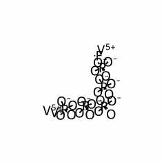 O=P([O-])([O-])[O-].O=P([O-])([O-])[O-].O=P([O-])([O-])[O-].O=P([O-])([O-])[O-].O=P([O-])([O-])[O-].[F].[V+5].[V+5].[V+5]